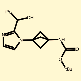 CC(C)C(O)c1nccn1C12CC(NC(=O)OC(C)(C)C)(C1)C2